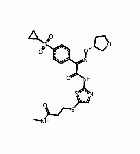 CNC(=O)CCSc1cnc(NC(=O)/C(=N/O[C@@H]2CCOC2)c2ccc(S(=O)(=O)C3CC3)cc2)s1